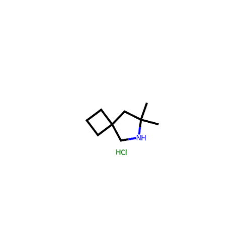 CC1(C)CC2(CCC2)CN1.Cl